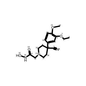 CCOc1cc(C2(C#N)CCN(CC(=O)NO)CC2)ccc1OC